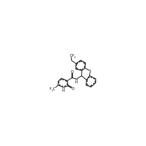 O=C(NC1c2ccccc2Sc2ccc(CC(F)(F)F)cc21)c1ccc(C(F)(F)F)[nH]c1=O